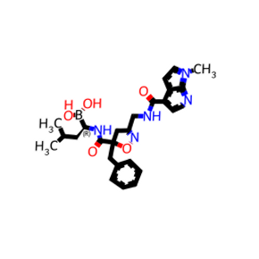 CC(C)C[C@H](NC(=O)C1(Cc2ccccc2)CC(CNC(=O)c2ccnc3c2ccn3C)=NO1)B(O)O